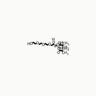 C=C(C)C(=O)O.C=C(C)C(=O)O.COC(O)COCCOCCOCCO